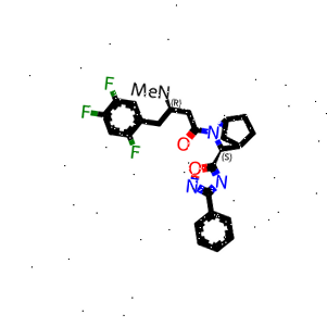 CN[C@@H](CC(=O)N1C2CCC(C2)[C@H]1c1nc(-c2ccccc2)no1)Cc1cc(F)c(F)cc1F